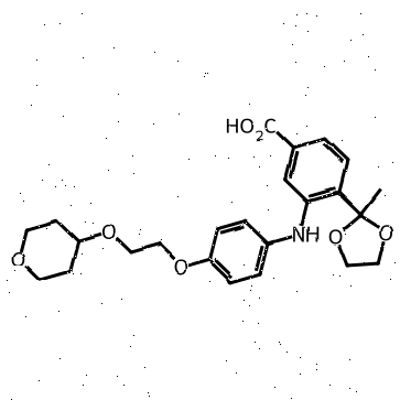 CC1(c2ccc(C(=O)O)cc2Nc2ccc(OCCOC3CCOCC3)cc2)OCCO1